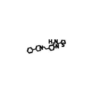 N/C(=N\c1ccc(CCN2CC=C(c3ccccc3)CC2)cc1)c1cccs1